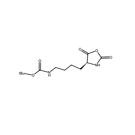 CC(C)(C)OC(=O)NCCCC[C@@H]1NC(=O)OC1=O